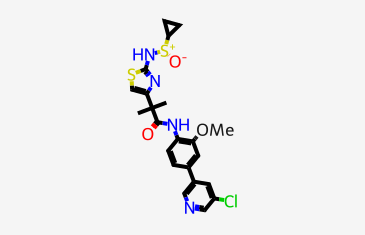 COc1cc(-c2cncc(Cl)c2)ccc1NC(=O)C(C)(C)c1csc(N[S+]([O-])C2CC2)n1